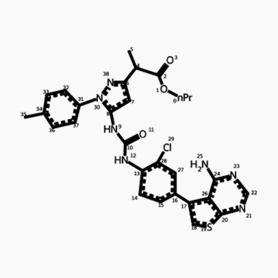 CCCOC(=O)C(C)c1cc(NC(=O)Nc2ccc(-c3csc4ncnc(N)c34)cc2Cl)n(-c2ccc(C)cc2)n1